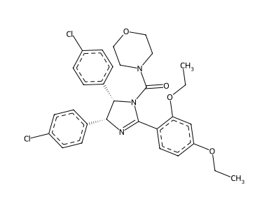 CCOc1ccc(C2=N[C@H](c3ccc(Cl)cc3)[C@H](c3ccc(Cl)cc3)N2C(=O)N2CCOCC2)c(OCC)c1